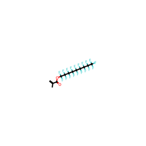 C=C(C)C(=O)OC(F)(F)C(F)(F)C(F)(F)C(F)(F)C(F)(F)C(F)(F)C(F)(F)C(F)(F)C(F)(F)F